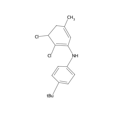 CC1=CC(Nc2ccc(C(C)(C)C)cc2)=C(Cl)C(Cl)C1